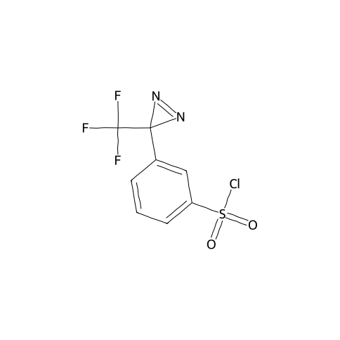 O=S(=O)(Cl)c1cccc(C2(C(F)(F)F)N=N2)c1